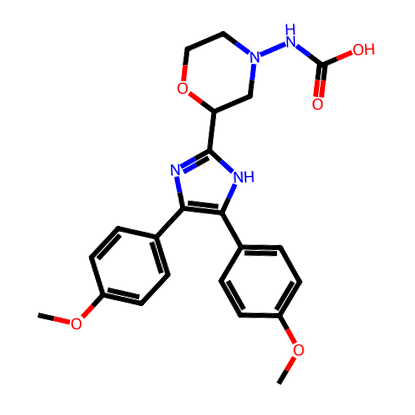 COc1ccc(-c2nc(C3CN(NC(=O)O)CCO3)[nH]c2-c2ccc(OC)cc2)cc1